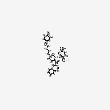 CN(C1=Nc2ccc(F)cc2CS1)C1CCN(CCCCOc2ccc(F)cc2)CC1.O=C(O)/C=C\C(=O)O